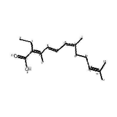 CCC(C(=O)O)=C(C)C=CC=C(C)CCC=C(C)C